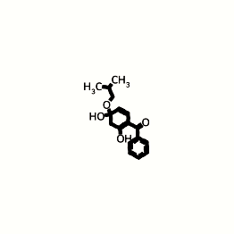 CC(C)COC1(O)C=CC(C(=O)c2ccccc2)=C(O)C1